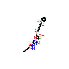 CCCCCOC(=O)Nc1ccn([C@@H]2O[C@H](COC(=O)CCCCC(=O)Nc3ccccc3)[C@@H](O)C2(F)F)c(=O)n1